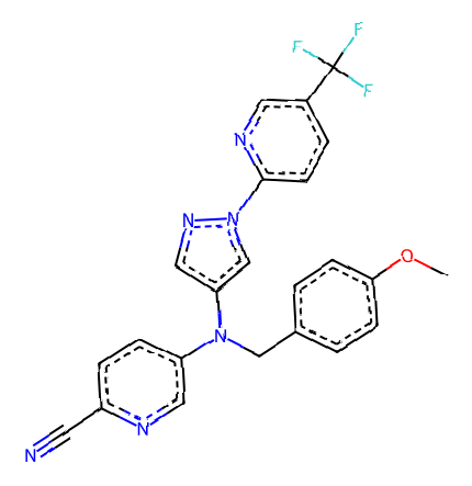 COc1ccc(CN(c2ccc(C#N)nc2)c2cnn(-c3ccc(C(F)(F)F)cn3)c2)cc1